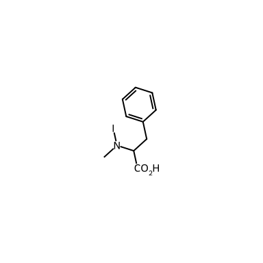 CN(I)C(Cc1ccccc1)C(=O)O